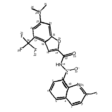 Cc1ccc2cccc([S+]([O-])NC(=O)c3cc4c(C(F)(F)F)cc(N(C)C)cc4o3)c2n1